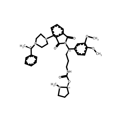 COc1ccc([C@@H](CCCNC(=O)O[C@H]2CCCN2C)N2C(=O)c3cccc(N4CCN([C@H](C)c5ccccc5)CC4)c3C2=O)cc1OC